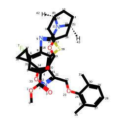 COC(=O)c1cc(F)c2nc(N3[C@@H]4CC[C@H]3CC(OCc3c(COc5c(C)cccc5C)noc3C3CC3)C4)sc2c1